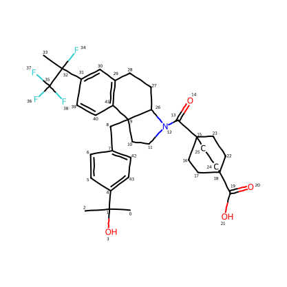 CC(C)(O)c1ccc(CC23CCN(C(=O)C45CCC(C(=O)O)(CC4)CC5)C2CCc2cc(C(C)(F)C(F)(F)F)ccc23)cc1